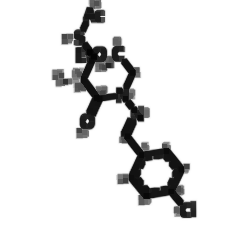 CCOC(=O)CN(N=Cc1ccc(Cl)cc1)C(=O)[C@H](C)CSC(C)=O